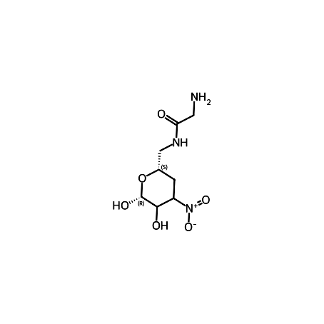 NCC(=O)NC[C@@H]1CC([N+](=O)[O-])C(O)[C@H](O)O1